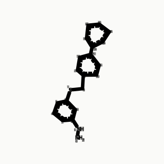 NNc1cccc(SCc2ccc(-c3ccccc3)cc2)c1